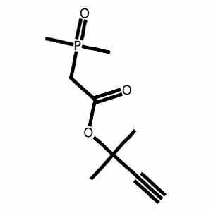 C#CC(C)(C)OC(=O)CP(C)(C)=O